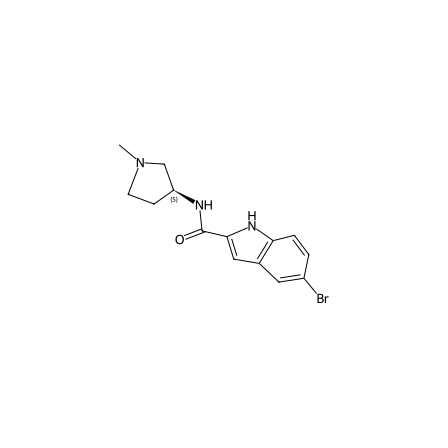 CN1CC[C@H](NC(=O)c2cc3cc(Br)ccc3[nH]2)C1